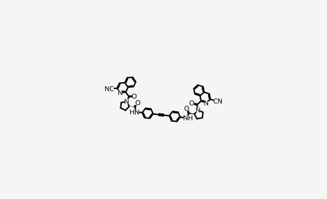 N#Cc1cc2ccccc2c(C(=O)N2CCC[C@H]2C(=O)Nc2ccc(C#Cc3ccc(NC(=O)[C@@H]4CCCN4C(=O)c4nc(C#N)cc5ccccc45)cc3)cc2)n1